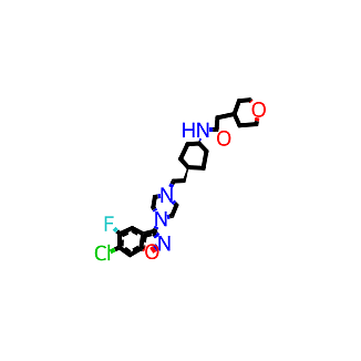 O=C(CC1CCOCC1)N[C@H]1CC[C@H](CCN2CCN(c3noc4cc(Cl)c(F)cc34)CC2)CC1